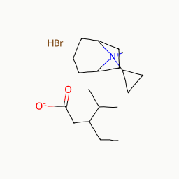 Br.CCC(CC(=O)[O-])C(C)C.C[N+]1(C2CC2)C2CCCC1CC2